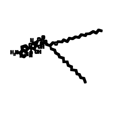 CCCCCCCCCCCCCCCCC[C@H](COCCCCCCCCCCCCCCCC)COP(=O)(O)OC1[C@H]2O[C@@](C#N)(c3ccc4c(N)ncnn34)[C@H](O)[C@@]12O